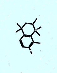 Cc1ccc2c(c1C)C(C)(C)C(C)CC2(C)C